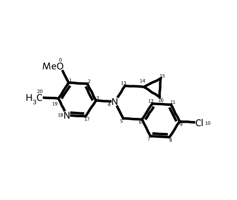 COc1cc(N(Cc2ccc(Cl)cc2)CC2CC2)cnc1C